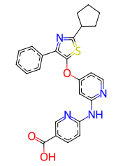 O=C(O)c1ccc(Nc2cc(Oc3sc(C4CCCC4)nc3-c3ccccc3)ccn2)nc1